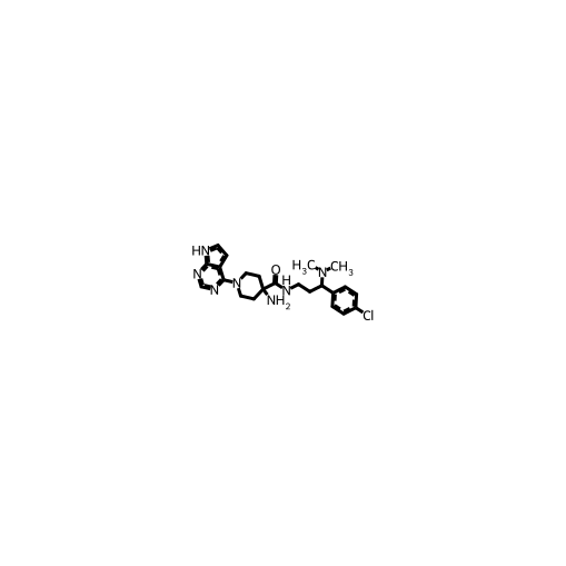 CN(C)C(CCNC(=O)C1(N)CCN(c2ncnc3[nH]ccc23)CC1)c1ccc(Cl)cc1